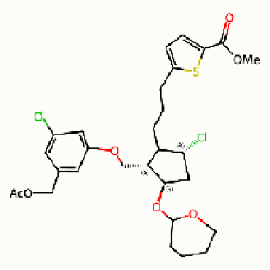 COC(=O)c1ccc(CCCC2[C@H](Cl)C[C@@H](OC3CCCCO3)[C@@H]2COc2cc(Cl)cc(COC(C)=O)c2)s1